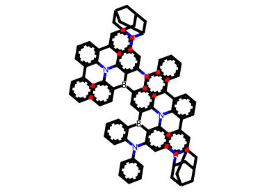 c1ccc(-c2cccc(-c3ccccc3)c2N2c3ccccc3B3c4cc5c(cc4N(c4ccccc4)c4cc(N6C7CC8CC(C7)CC6C8)cc2c43)N(c2c(-c3ccccc3)cccc2-c2ccccc2)c2cc(N3C4CC6CC(C4)CC3C6)cc3c2B5c2ccccc2N3c2ccccc2)cc1